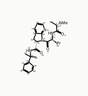 CN[C@@H](C)C(=O)N[C@H](C(=O)N1c2ncccc2C[C@H]1C(=O)NC(C)(C)c1ccccc1)C(C)C